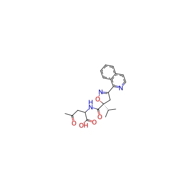 CC(=O)CC(NC(=O)[C@]1(C(C)C)CC(c2nccc3ccccc23)=NO1)C(=O)O